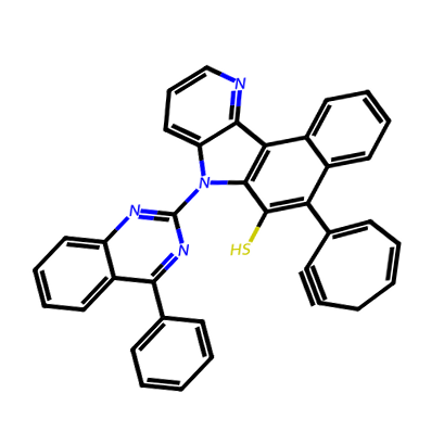 Sc1c(C2=CC=CCC#C2)c2ccccc2c2c3ncccc3n(-c3nc(-c4ccccc4)c4ccccc4n3)c12